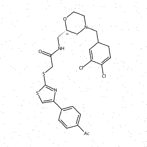 CC(=O)c1ccc(-c2csc(SCC(=O)NC[C@H]3CN(CC4C=C(Cl)C(Cl)=CC4)CCO3)n2)cc1